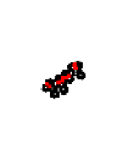 c1ccc(-c2ccccc2N(c2ccc3c(c2)oc2cc(N(c4ccccc4-c4ccccc4)c4ccccc4-c4ccccc4)c4ccccc4c23)c2ccccc2-c2ccccc2)cc1